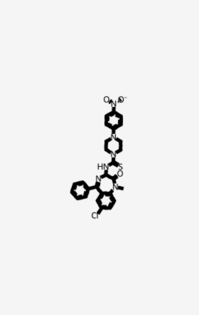 CN1C(=O)C(NC(=S)N2CCN(c3ccc([N+](=O)[O-])cc3)CC2)N=C(c2ccccc2)c2cc(Cl)ccc21